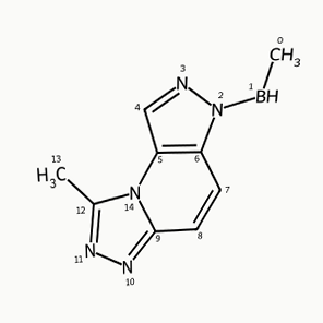 CBn1ncc2c1ccc1nnc(C)n12